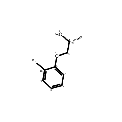 C[C@@H](O)COc1ccccc1I